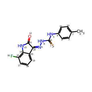 Cc1ccc(NC(=S)N/N=C2\C(=O)Nc3c(F)cccc32)cc1